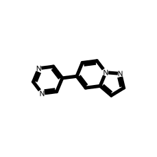 c1ncc(-c2ccn3nccc3c2)cn1